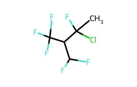 CC(F)(Cl)C(C(F)F)C(F)(F)F